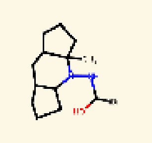 CCC(C)C(O)NN1C2CCCC2CC2CCCC21C